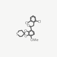 COc1ccc(C(=O)Cc2c(Cl)cccc2Cl)c2c1OC1(CCSCC1)O2